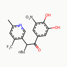 CCCCC(C(=O)c1cc(O)c(O)c([N+](=O)[O-])c1)c1cnc(C)cc1C(F)(F)F